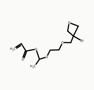 C=CC(=O)OC(C)OCCOCC1(CC)COC1